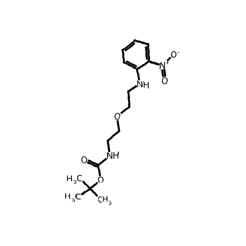 CC(C)(C)OC(=O)NCCOCCNc1ccccc1[N+](=O)[O-]